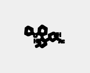 CC(=O)C1CC(C2=C(c3ccccc3Oc3ccccc3)NN(C)C=C2)=CCN1